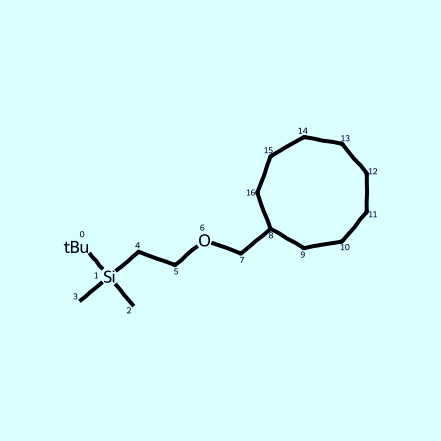 CC(C)(C)[Si](C)(C)CCOCC1CCCCCCCC1